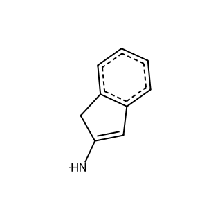 [NH]C1=Cc2ccccc2C1